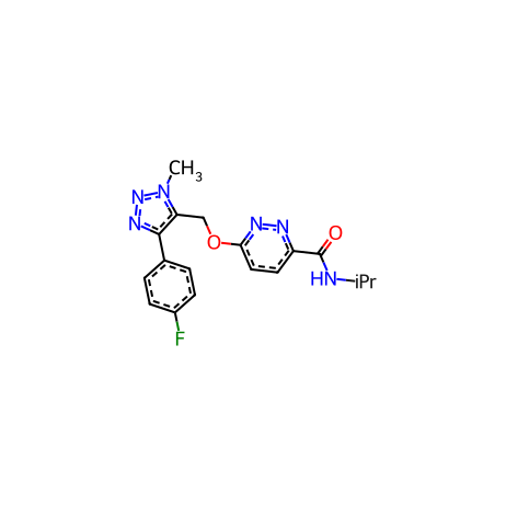 CC(C)NC(=O)c1ccc(OCc2c(-c3ccc(F)cc3)nnn2C)nn1